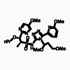 CCCO[C@@H](c1ncc(OC)cn1)[C@H](C)S(=O)(=O)Nc1nnc(-c2cccc(OC)n2)n1C(CCOC)OC